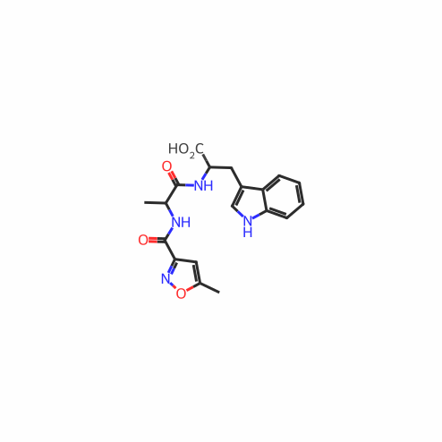 Cc1cc(C(=O)NC(C)C(=O)NC(Cc2c[nH]c3ccccc23)C(=O)O)no1